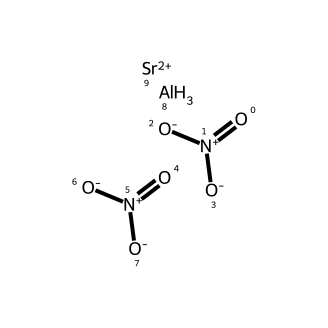 O=[N+]([O-])[O-].O=[N+]([O-])[O-].[AlH3].[Sr+2]